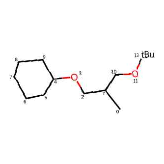 CC(COC1CCCCC1)COC(C)(C)C